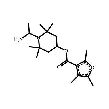 Cc1oc(C)c(C(=O)OC2CC(C)(C)N(C(C)N)C(C)(C)C2)c1C